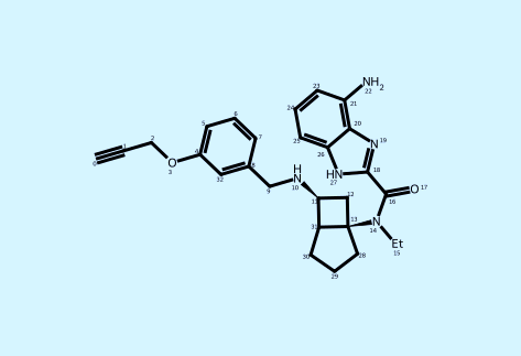 C#CCOc1cccc(CN[C@H]2C[C@]3(N(CC)C(=O)c4nc5c(N)cccc5[nH]4)CCCC23)c1